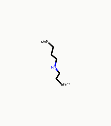 CCCCCCCNCCCNC